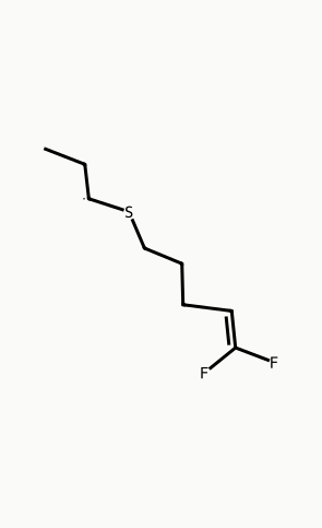 CC[CH]SCCCC=C(F)F